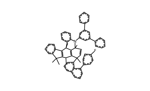 CC1C2=C(c3ccccc3C2(C)C)C2(C)C3=C1C(C)(c1cccc4cccc(-c5ccc(F)cc5)c14)C=CC3(C)N(c1cc(-c3ccccc3)cc(-c3ccccc3)c1)c1ccccc12